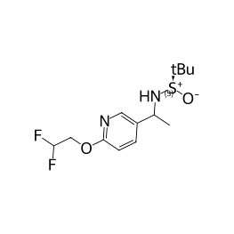 CC(N[S@+]([O-])C(C)(C)C)c1ccc(OCC(F)F)nc1